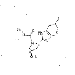 CC(C)(C)OC(=O)N1C[C@H](O)C[C@H]1c1nc2ccc(I)cc2[nH]1